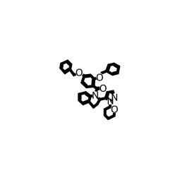 O=C(c1ccc(OCc2ccccc2)cc1OCc1ccccc1)N1c2ccccc2CCC1c1ccnn1C1CCCCO1